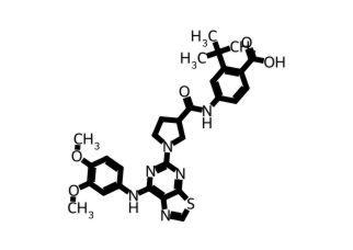 COc1ccc(Nc2nc(N3CCC(C(=O)Nc4ccc(C(=O)O)c(C(C)(C)C)c4)C3)nc3scnc23)cc1OC